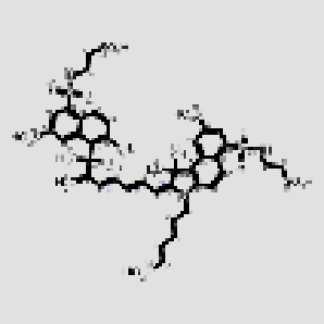 C=C(/C=C/C=C/C=C1/N(CCCCCC(=O)O)c2ccc3c(S(=O)(=O)NCCS(=O)(=O)O)cc(S(=O)(=O)O)cc3c2C1(C)C)C(C)(C)c1c(C)ccc2c(S(=O)(=O)NCCS(=O)(=O)O)cc(S(=O)(=O)O)cc12